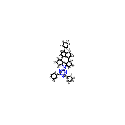 c1ccc(-c2nc(-c3ccccc3)nc(-n3c4cccc5c4c4c(cccc43)-c3ccc(-c4ccccc4)c4cccc-5c34)n2)cc1